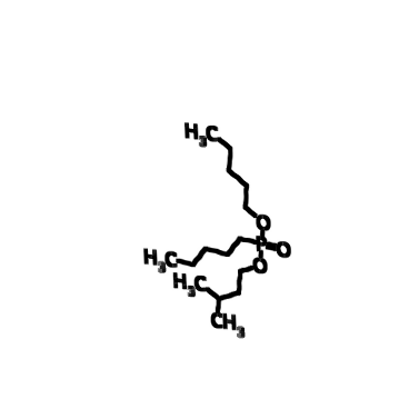 CCCCCOP(=O)(CCCCC)OCCC(C)C